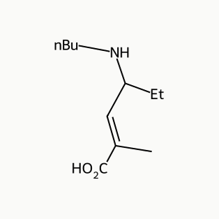 CCCCNC(C=C(C)C(=O)O)CC